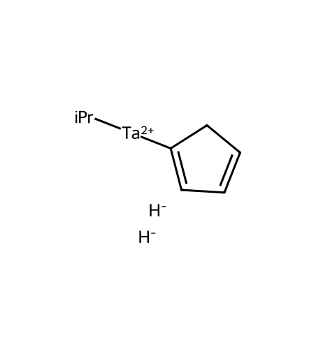 C[CH](C)[Ta+2][C]1=CC=CC1.[H-].[H-]